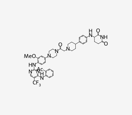 COc1cc(N2CCN(C(=O)CN3CCC(c4ccc(NC5CCC(=O)NC5=O)cc4)CC3)CC2)ccc1Nc1ncc(C(F)(F)F)c(Nc2ccccc2C(C)=O)n1